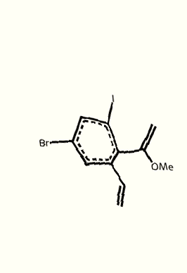 C=Cc1cc(Br)cc(I)c1C(=C)OC